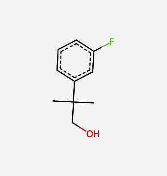 CC(C)(CO)c1cccc(F)c1